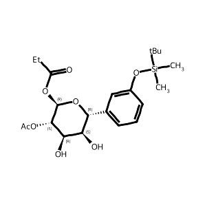 CCC(=O)O[C@H]1O[C@H](c2cccc(O[Si](C)(C)C(C)(C)C)c2)[C@@H](O)[C@@H](O)[C@@H]1OC(C)=O